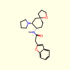 CN(C(=O)Cc1cc2ccccc2o1)[C@H]1CC[C@]2(CCCO2)C[C@@H]1N1CCCC1